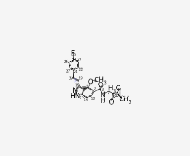 COc1c(C(=O)NCC(=O)N(C)C)ccc2[nH]nc(/C=C/c3ccc(F)cc3)c12